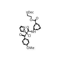 CCCCCCCCCCCCOC(=O)c1cccc(NC(=O)C(Cl)(C(=O)c2ccc(OC)cc2)n2cccn2)c1